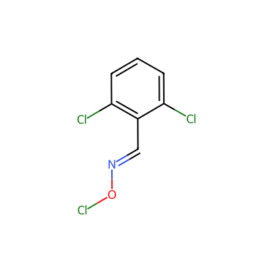 ClON=Cc1c(Cl)cccc1Cl